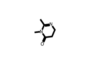 CC1=NCCC(=O)N1C